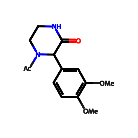 COc1ccc(C2C(=O)NCCN2C(C)=O)cc1OC